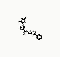 Cc1nc(C)c(-n2cc(C(=O)NCc3nnc(-c4ccccc4)s3)nn2)s1